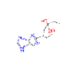 CCC(CC(O)(O)CC)c1ncc2[nH]cnc2n1